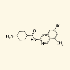 Cc1cc(Br)cc2cc(NC(=O)C3CCC(N)CC3)ncc12